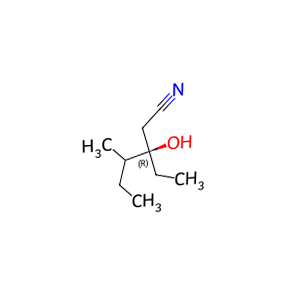 CCC(C)[C@@](O)(CC)CC#N